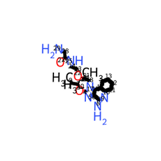 CCCOc1nc2c(N)nc3ccccc3c2n1CC(C)(C)OCCNC(=O)CN